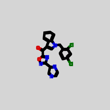 O=C(c1nc(-c2cnccn2)no1)c1cn(Cc2ccc(Cl)cc2Cl)c2ccccc12